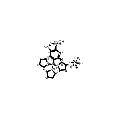 F[P-](F)(F)(F)(F)F.[2H]c1nc2c(cc1[P+](N1CCCC1)(N1CCCC1)N1CCCC1)nnn2O